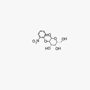 O=[N+]([O-])c1ccccc1O[C@@H]1[C@@H](O)[C@@H](O)[C@@H](CO)O[C@@H]1O